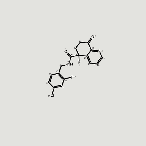 O=C1CCC(F)(C(=O)NCc2ccc(Cl)cc2F)c2cccnc21